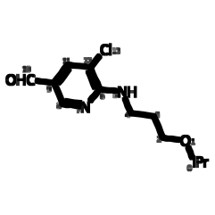 CC(C)OCCCNc1ncc(C=O)cc1Cl